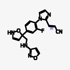 N#C/C=C/c1nccn1-c1ccc(C2(CNc3ccon3)C=CNO2)cc1F